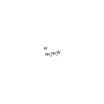 N.N.[W].[W]